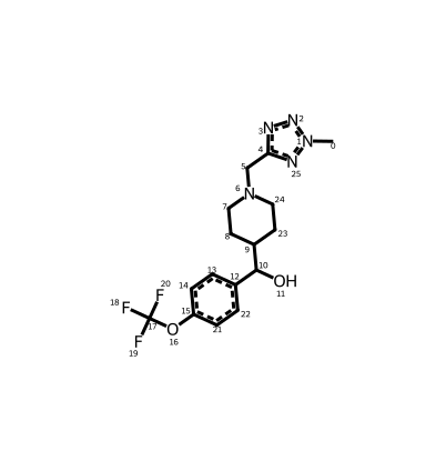 Cn1nnc(CN2CCC(C(O)c3ccc(OC(F)(F)F)cc3)CC2)n1